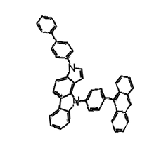 c1ccc(-c2ccc(-n3ccc4c3ccc3c5ccccc5n(-c5ccc(-c6c7ccccc7cc7ccccc67)cc5)c34)cc2)cc1